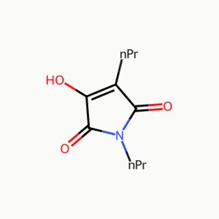 CCCC1=C(O)C(=O)N(CCC)C1=O